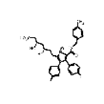 Cc1ccc(CNC(=O)c2c(-c3ccc(F)cc3)c(-c3ccc(F)cc3)c(CC[C@@H](O)C[C@@H](O)CC(=O)O)n2C(C)C)cc1